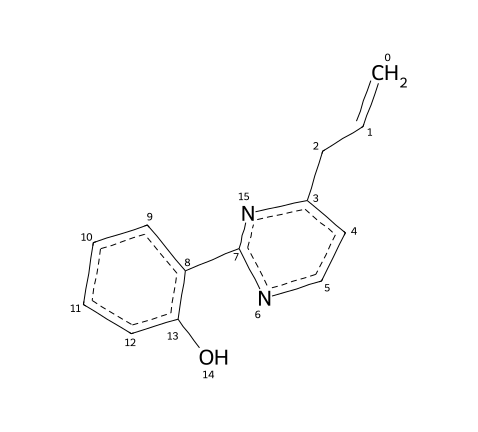 C=CCc1ccnc(-c2ccccc2O)n1